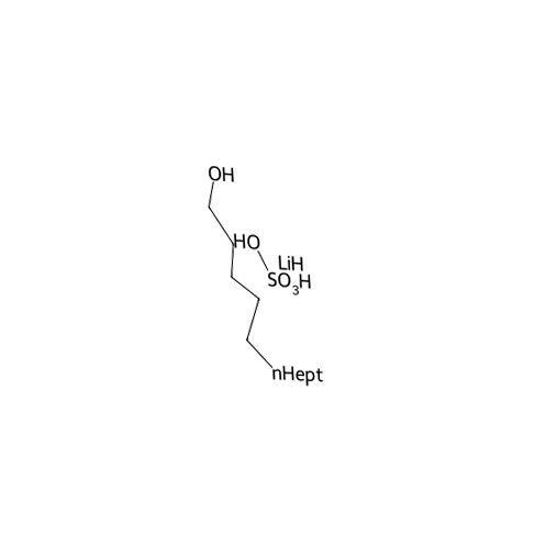 CCCCCCCCCCCCO.O=S(=O)(O)O.[LiH]